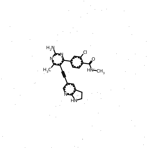 CNC(=O)c1ccc(-c2nc(N)nc(C)c2C#Cc2cnc3c(c2)CCN3)cc1Cl